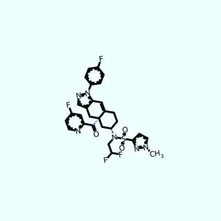 Cn1ccc(S(=O)(=O)N(CC(F)F)[C@H]2CCC3=Cc4c(cnn4-c4ccc(F)cc4)C[C@]3(C(=O)c3cc(F)ccn3)C2)n1